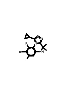 CC1(C)Nc2cc(F)c(Br)c(F)c2-n2c(C3CC3)nnc21